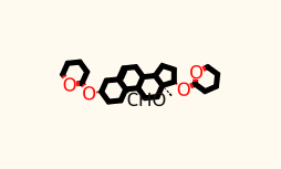 C[C@]12CCC3C(CC=C4C[C@@H](OC5CCCCO5)CC[C@@]43C=O)C1CC[C@@H]2OC1CCCCO1